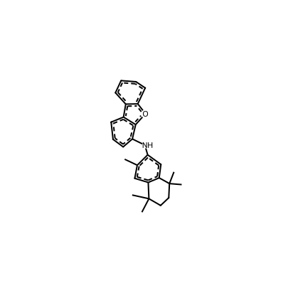 Cc1cc2c(cc1Nc1cccc3c1oc1ccccc13)C(C)(C)CCC2(C)C